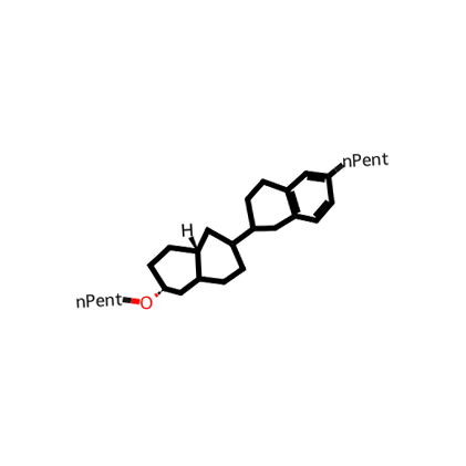 CCCCCO[C@@H]1CC[C@@H]2CC(C3CCc4cc(CCCCC)ccc4C3)CCC2C1